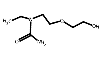 C[CH]N(CCOCCO)C(N)=O